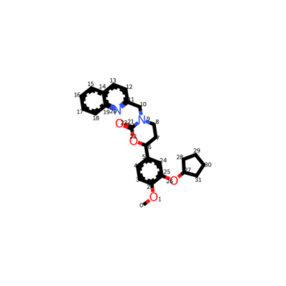 COc1ccc(C2CCN(Cc3ccc4ccccc4n3)C(=O)O2)cc1OC1CCCC1